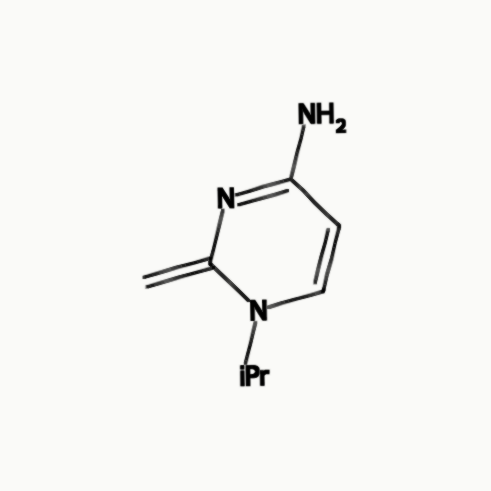 C=C1N=C(N)C=CN1C(C)C